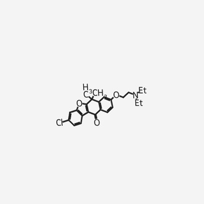 CCN(CC)CCOc1ccc2c(c1)C(C)(C)c1oc3cc(Cl)ccc3c1C2=O